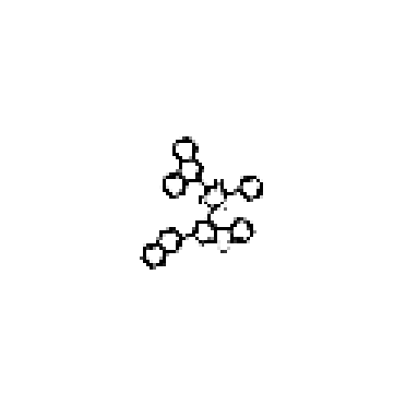 c1ccc(-c2nc(-c3cc4ccccc4c4ccccc34)nc(-c3cc(-c4ccc5ccccc5c4)cc4oc5ccccc5c34)n2)cc1